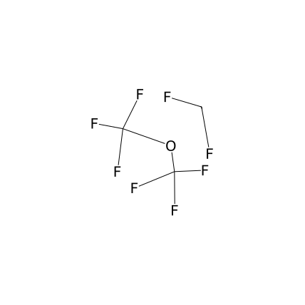 FC(F)(F)OC(F)(F)F.FCF